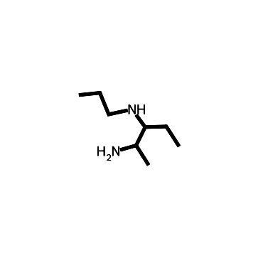 CCCNC(CC)C(C)N